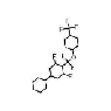 FC1CC(C2CCCCC2)CC(F)C1C(F)(F)OC1CCC(C(F)(F)F)CC1